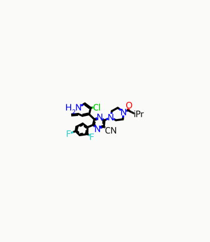 C=C/C=C(\C(Cl)=C/N)c1nc(N2CCN(C(=O)C(C)C)CC2)c(C#N)nc1-c1ccc(F)cc1F